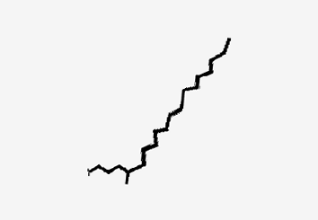 CCCCCCCCCCCCCCC(C)CCCI